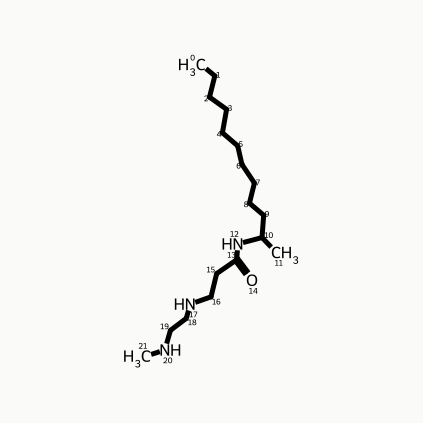 CCCCCCCCCCC(C)NC(=O)CCNCCNC